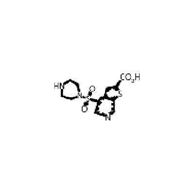 O=C(O)c1cc2c(S(=O)(=O)N3CCNCC3)cncc2s1